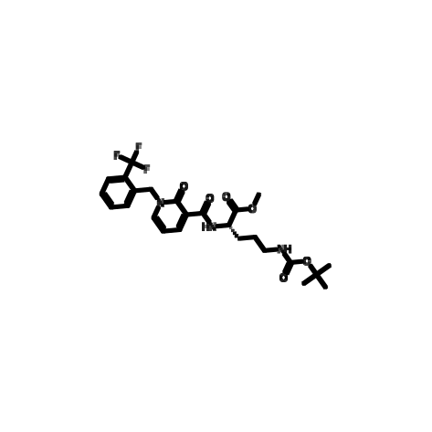 COC(=O)[C@H](CCCNC(=O)OC(C)(C)C)NC(=O)c1cccn(Cc2ccccc2C(F)(F)F)c1=O